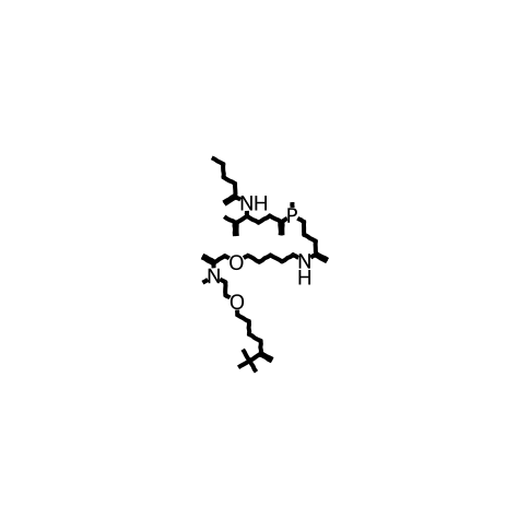 C=C(CCCP(C)C(=C)CCC(NC(=C)CCCC)C(=C)C)NCCCCCOCC(=C)N(C)CCOCCCCC(=C)C(C)(C)C